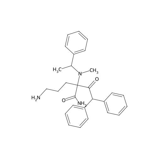 CC(c1ccccc1)N(C)C(CCCN)(C(N)=O)C(=O)C(c1ccccc1)c1ccccc1